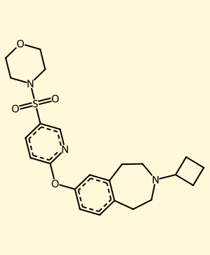 O=S(=O)(c1ccc(Oc2ccc3c(c2)CCN(C2CCC2)CC3)nc1)N1CCOCC1